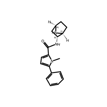 Cn1c(C(=O)N[C@@H]2C[C@H]3CC[C@@H]2N3)ccc1-c1ccccc1